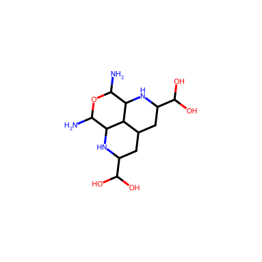 NC1OC(N)C2NC(C(O)O)CC3CC(C(O)O)NC1C32